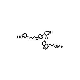 COCCCN1CCOc2ccc(CO[C@H]3CNCC[C@@H]3c3ccc(OCCCOc4cccc(O)c4)cc3)cc21